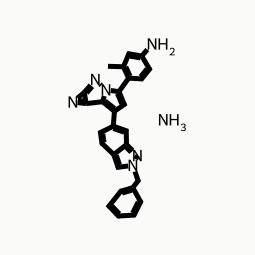 Cc1cc(N)ccc1-c1cc(-c2ccc3cn(Cc4ccccc4)nc3c2)c2c3nc3nn12.N